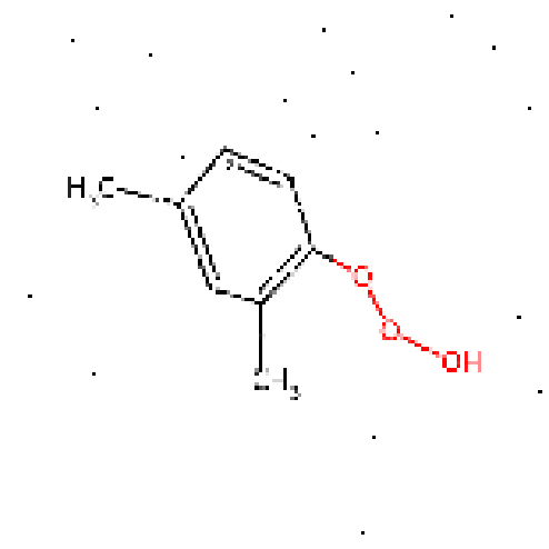 Cc1ccc(OOO)c(C)c1